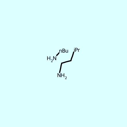 CC(C)CCN.CCCCN